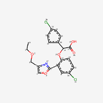 CCOCc1coc(-c2cc(Cl)ccc2OC(C(=O)O)c2ccc(Cl)cc2)n1